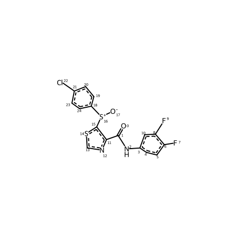 O=C(Nc1ccc(F)c(F)c1)c1ncsc1[S+]([O-])c1ccc(Cl)cc1